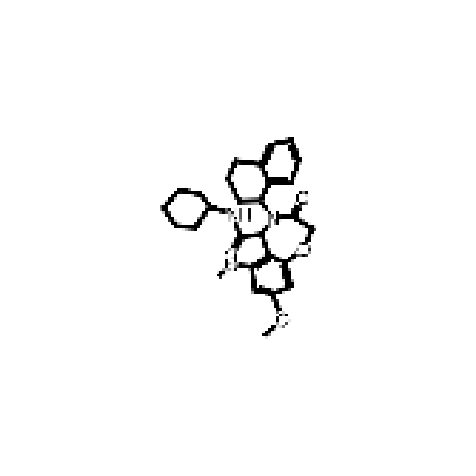 COc1cc(OC)c2c(c1)OCC(=O)N(C1CCCc3ccccc31)C2C(=O)NC1CCCCC1